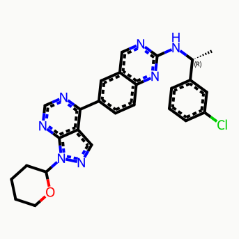 C[C@@H](Nc1ncc2cc(-c3ncnc4c3cnn4C3CCCCO3)ccc2n1)c1cccc(Cl)c1